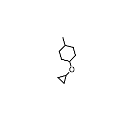 CC1CCC(OC2CC2)CC1